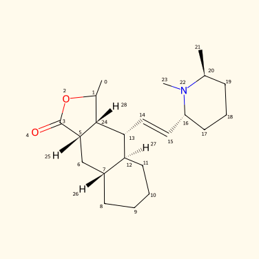 CC1OC(=O)[C@H]2C[C@H]3CCCC[C@@H]3[C@@H](C=C[C@H]3CCC[C@H](C)N3C)[C@@H]12